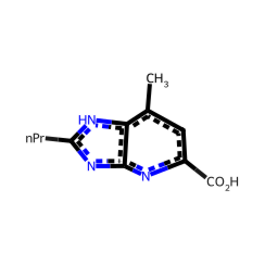 CCCc1nc2nc(C(=O)O)cc(C)c2[nH]1